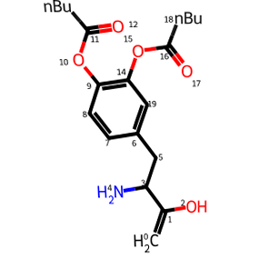 C=C(O)C(N)Cc1ccc(OC(=O)CCCC)c(OC(=O)CCCC)c1